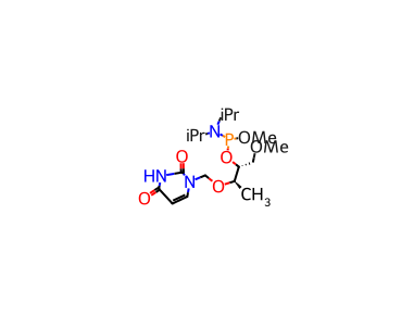 COC[C@@H](OP(OC)N(C(C)C)C(C)C)[C@@H](C)OCn1ccc(=O)[nH]c1=O